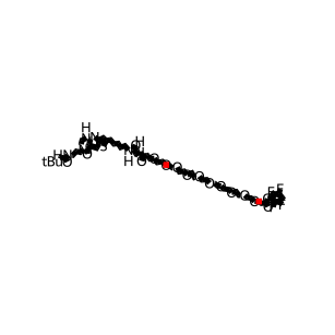 CC(C)(C)CC(=O)NCCCN1CCNC2=Nc3cc(CCCCCNC(=O)CNC(=O)CCOCCOCCOCCOCCOCCOCCOCCOCCOCCOCCC(=O)Oc4c(F)c(F)cc(F)c4F)sc3C=C(C2)C1=O